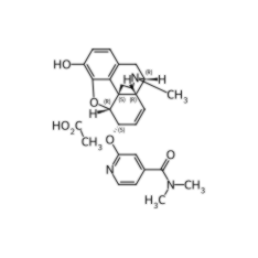 CC(=O)O.CN(C)C(=O)c1ccnc(O[C@H]2C=C[C@H]3[C@H]4Cc5ccc(O)c6c5[C@@]3(CCN4C)[C@H]2O6)c1